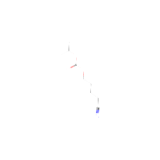 CC(C)OC(=O)OCCCCC#N